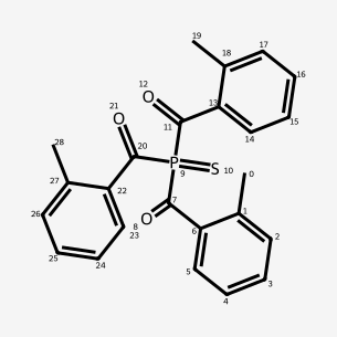 Cc1ccccc1C(=O)P(=S)(C(=O)c1ccccc1C)C(=O)c1ccccc1C